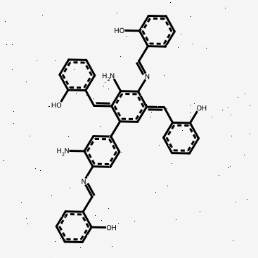 Nc1cc(-c2cc(=Cc3ccccc3O)c(N=Cc3ccccc3O)c(N)c2=Cc2ccccc2O)ccc1N=Cc1ccccc1O